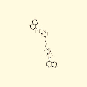 O=C(Nc1nnc(CCCCc2nnc(NC(=O)c3cccc4ccccc34)s2)s1)c1cccc2ccccc12